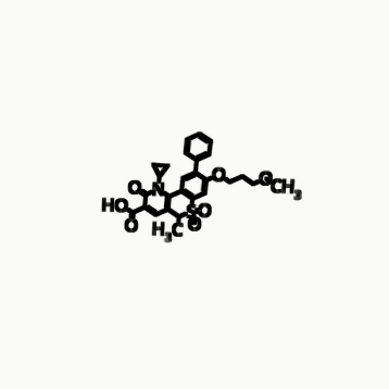 COCCCOc1cc2c(cc1-c1ccccc1)-c1c(cc(C(=O)O)c(=O)n1C1CC1)C(C)S2(=O)=O